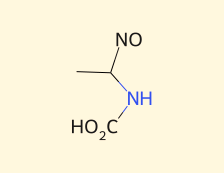 CC(N=O)NC(=O)O